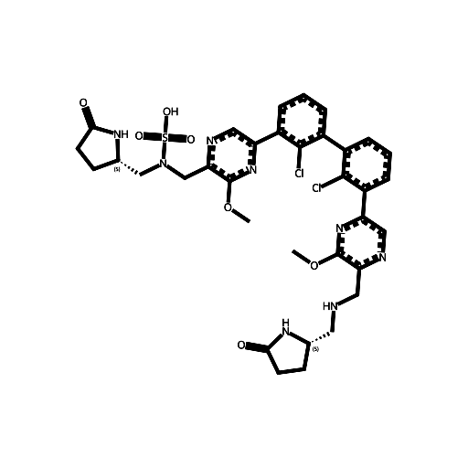 COc1nc(-c2cccc(-c3cccc(-c4cnc(CN(C[C@@H]5CCC(=O)N5)S(=O)(=O)O)c(OC)n4)c3Cl)c2Cl)cnc1CNC[C@@H]1CCC(=O)N1